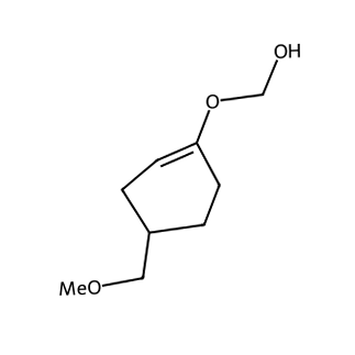 COCC1CC=C(OCO)CC1